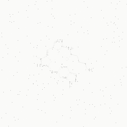 O=C(O)CCC(=O)Nc1ncc(C=C2SC(=Nc3ccc4cn[nH]c4c3)NC2=O)s1